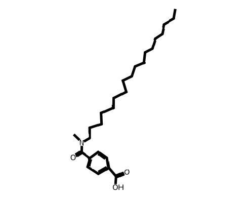 CCCCCCCCCCCCCCCCCCN(C)C(=O)c1ccc(C(=O)O)cc1